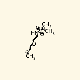 COCCOCCNS(=O)(=O)N(C)C